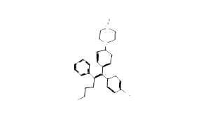 CC(C)N1CCN(C2C=CC(/C(=C(/CCCO)c3ccccc3)C3C=CC(Br)=CC3)=CC2)CC1